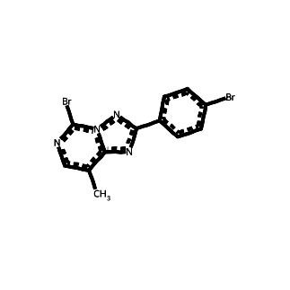 Cc1cnc(Br)n2nc(-c3ccc(Br)cc3)nc12